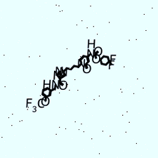 O=C(Nc1ccn(CCCCn2cc(C(=O)NCc3cccc(OC(F)(F)F)c3)nn2)c(=O)c1)OC1CCC(F)(F)CC1